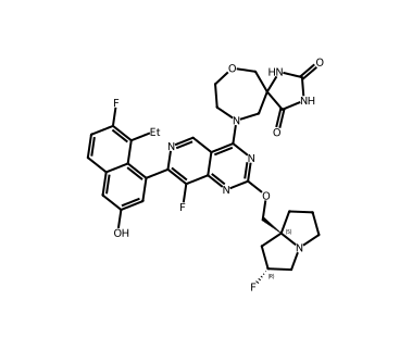 CCc1c(F)ccc2cc(O)cc(-c3ncc4c(N5CCOCC6(C5)NC(=O)NC6=O)nc(OC[C@@]56CCCN5C[C@H](F)C6)nc4c3F)c12